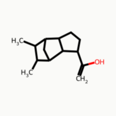 C=C(O)C1CCC2C3CC(C(C)C3C)C12